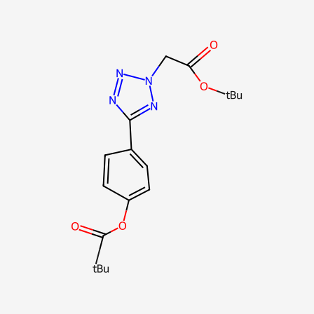 CC(C)(C)OC(=O)Cn1nnc(-c2ccc(OC(=O)C(C)(C)C)cc2)n1